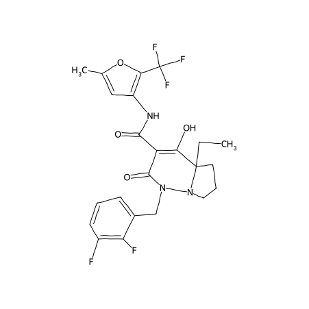 CCC12CCCN1N(Cc1cccc(F)c1F)C(=O)C(C(=O)Nc1cc(C)oc1C(F)(F)F)=C2O